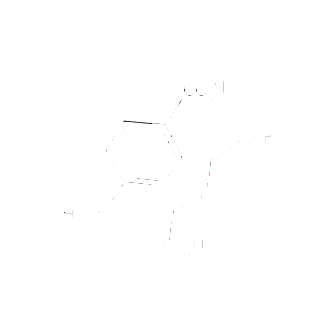 O=C(O)COCC(=O)O.O=C(O)c1ccc(C(=O)O)cc1